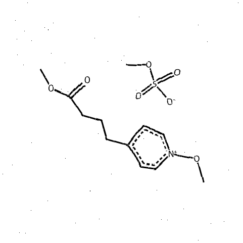 COC(=O)CCCc1cc[n+](OC)cc1.COS(=O)(=O)[O-]